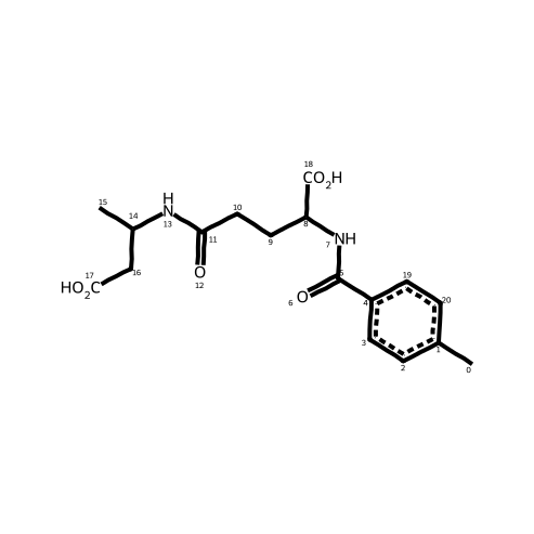 Cc1ccc(C(=O)NC(CCC(=O)NC(C)CC(=O)O)C(=O)O)cc1